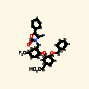 CC1C(c2ccccc2)OC(=O)N1Cc1cc(C(F)(F)F)ccc1Oc1cc(CC(=O)O)ccc1OCc1ccccc1